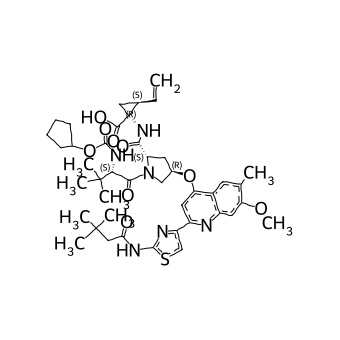 C=C[C@@H]1C[C@]1(NC(=O)[C@@H]1C[C@@H](Oc2cc(-c3csc(NC(=O)CC(C)(C)C)n3)nc3cc(OC)c(C)cc23)CN1C(=O)[C@@H](NC(=O)OC1CCCC1)C(C)(C)C)C(=O)O